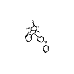 CC1(N(c2ccccc2)c2ccc(Oc3ccccc3)cc2)OC(=O)NC1=O